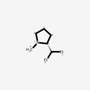 CCC(CC)[C@H]1CCCN1C